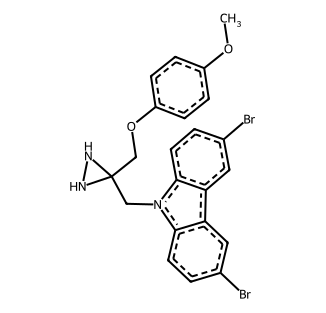 COc1ccc(OCC2(Cn3c4ccc(Br)cc4c4cc(Br)ccc43)NN2)cc1